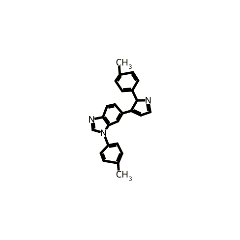 Cc1ccc(C2N=CC=C2c2ccc3ncn(-c4ccc(C)cc4)c3c2)cc1